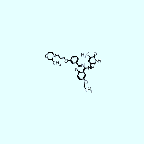 CCOc1ccc2nc(-c3cccc(OCCCN4CCOCC4C)c3)nc(Nc3c[nH]c(=O)c(C)c3)c2c1